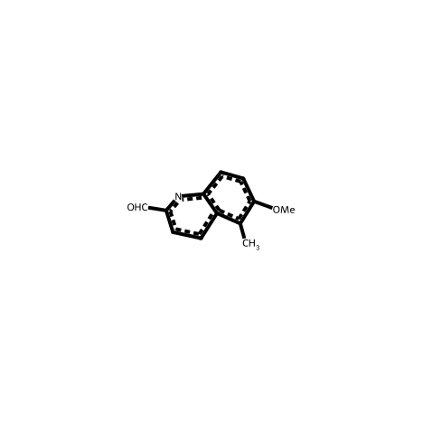 COc1ccc2nc(C=O)ccc2c1C